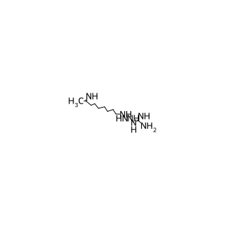 CC(=N)CCCCCCCNNNNC(=N)N